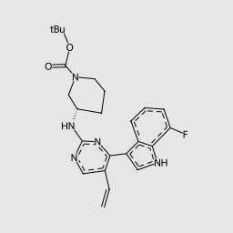 C=Cc1cnc(N[C@H]2CCCN(C(=O)OC(C)(C)C)C2)nc1-c1c[nH]c2c(F)cccc12